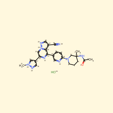 CC(=O)NC1(C)CCCN(c2ccc(-c3nc(-c4cnn(C)c4)cn4ncc(C#N)c34)cn2)C1.Cl